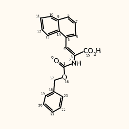 O=C(N/C(=C/c1cccc2ccccc12)C(=O)O)OCc1ccccc1